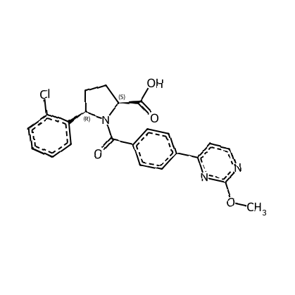 COc1nccc(-c2ccc(C(=O)N3[C@@H](c4ccccc4Cl)CC[C@H]3C(=O)O)cc2)n1